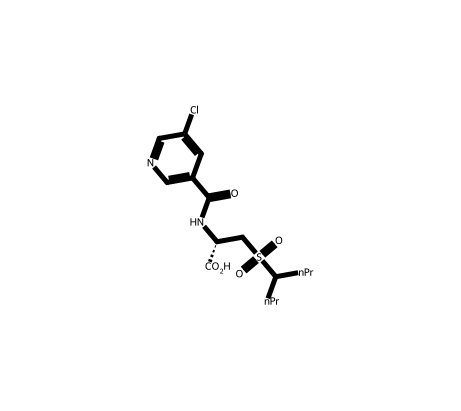 CCCC(CCC)S(=O)(=O)C[C@@H](NC(=O)c1cncc(Cl)c1)C(=O)O